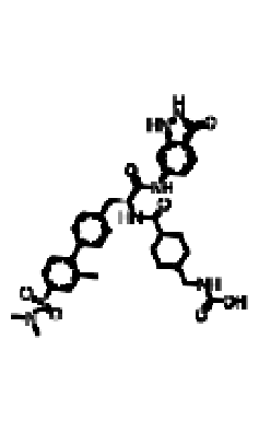 Cc1cc(S(=O)(=O)N(C)C)ccc1-c1ccc(C[C@H](NC(=O)C2CCC(CNC(=O)O)CC2)C(=O)Nc2ccc3c(=O)[nH][nH]c3c2)cc1